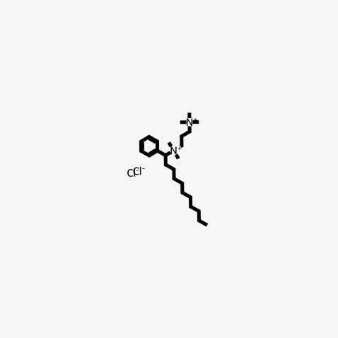 CCCCCCCCCCC(c1ccccc1)[N+](C)(C)CCC[N+](C)(C)C.[Cl-].[Cl-]